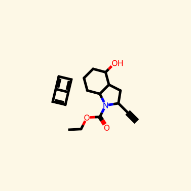 C#CC1CC2C(O)CCCC2N1C(=O)OCC.c1cc2ccc1-2